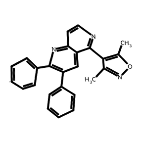 Cc1noc(C)c1-c1nccc2nc(-c3cc[c]cc3)c(-c3ccccc3)cc12